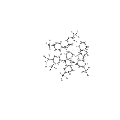 Cc1cc2c(cc1N1c3cc(C(C)(C)C)ccc3B3c4c1cc(N(c1ccc(C(C)(C)C)cc1)c1ccc(C(C)(C)C)cc1)cc4-n1c4c3cc(C(C)(C)C)cc4c3oc4ccccc4c31)C(C)(C)CCC2(C)C